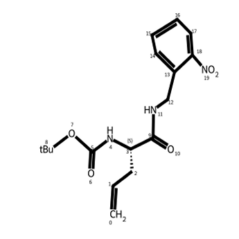 C=CC[C@H](NC(=O)OC(C)(C)C)C(=O)NCc1ccccc1[N+](=O)[O-]